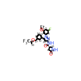 CCOc1cc(F)cc(-n2nc(NC(=O)[C@@H]3CNC(=O)C3)cc2-c2cccc(CO[C@H](C)C(F)(F)F)c2)c1